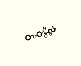 Cn1c(C(=O)Nc2ccc(OCc3ccccc3)cc2)cc2sccc21